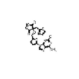 Nc1nc(Cl)nc2c1ncn2C1CCC(COC(Cc2nccs2)(C(=O)O)C(=O)O)O1